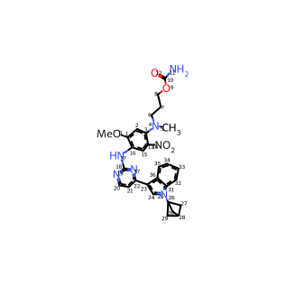 COc1cc(N(C)CCCOC(N)=O)c([N+](=O)[O-])cc1Nc1nccc(-c2cn(C34CC(C3)C4)c3ccccc23)n1